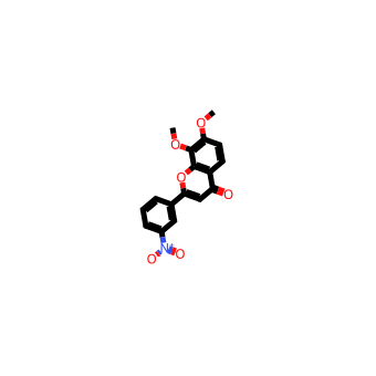 COc1ccc2c(=O)cc(-c3cccc([N+](=O)[O-])c3)oc2c1OC